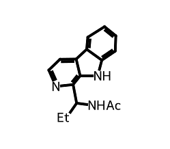 CCC(NC(C)=O)c1nccc2c1[nH]c1ccccc12